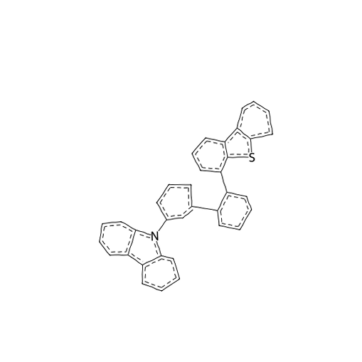 c1cc(-c2ccccc2-c2cccc3c2sc2ccccc23)cc(-n2c3ccccc3c3ccccc32)c1